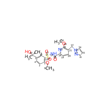 COc1ccc(C(C)(C)O)cc1S(=O)(=O)NC(=O)c1ccc(Cn2cccn2)c(OC)n1